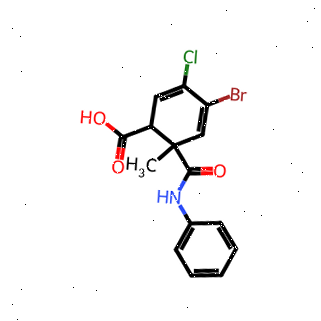 CC1(C(=O)Nc2ccccc2)C=C(Br)C(Cl)=CC1C(=O)O